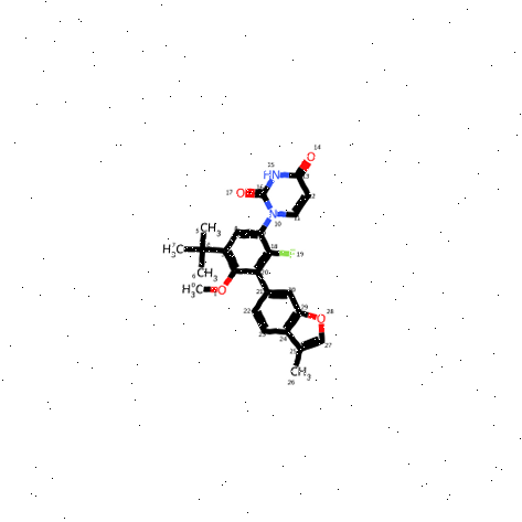 COc1c(C(C)(C)C)cc(-n2ccc(=O)[nH]c2=O)c(F)c1-c1ccc2c(C)coc2c1